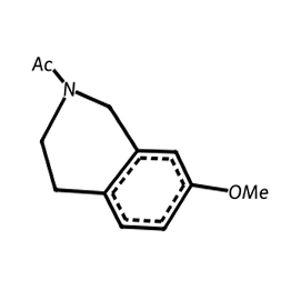 COc1ccc2c(c1)CN(C(C)=O)CC2